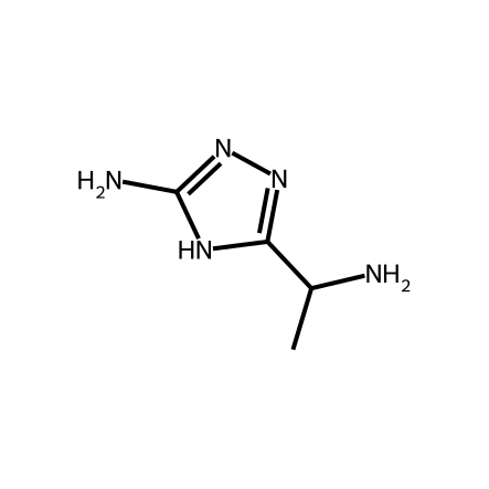 CC(N)c1nnc(N)[nH]1